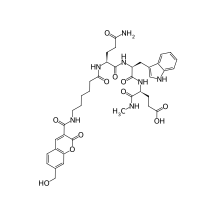 CNC(=O)[C@H](CCC(=O)O)NC(=O)[C@H](Cc1c[nH]c2ccccc12)NC(=O)[C@H](CCC(N)=O)NC(=O)CCCCCNC(=O)c1cc2ccc(CO)cc2oc1=O